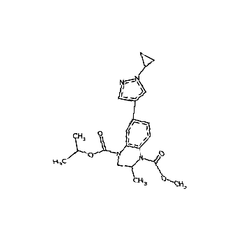 COC(=O)N1c2ccc(-c3cnn(C4CC4)c3)cc2N(C(=O)OC(C)C)CC1C